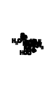 C=C[C@@H]1COCCN1c1nc2nc(C(=O)O)nc(N[C@H](C)C3CCC3)c2n1Cc1ccc(C(F)(F)F)cc1